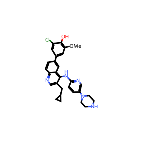 COc1cc(-c2ccc3ncc(CC4CC4)c(Nc4ccc(N5CCNCC5)cn4)c3c2)cc(Cl)c1O